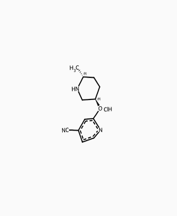 C[C@@H]1CC[C@@H](Oc2cc(C#N)ccn2)CN1.Cl